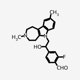 Cc1ccc2c(c1)c1c(n2CC(O)c2ccc(C=O)c(F)c2)CCN(C)CC1